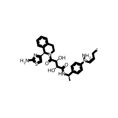 C[C@@H](NC(=O)[C@H](O)[C@@H](O)C(=O)N1CCc2ccccc2[C@@H]1c1csc(N)n1)c1ccc(N(N)/C=C\CI)cc1